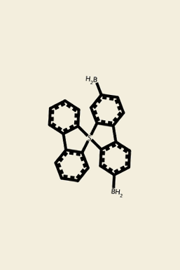 Bc1ccc2c(c1)S1(c3ccccc3-c3ccccc31)c1cc(B)ccc1-2